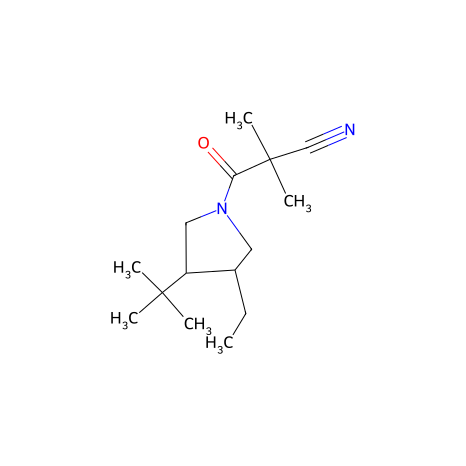 CCC1CN(C(=O)C(C)(C)C#N)CC1C(C)(C)C